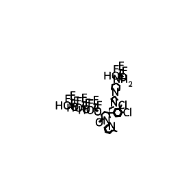 Cc1cccc(N2C[C@@](CCN3CC(N4CCC(N)CC4)C3)(c3ccc(Cl)c(Cl)c3)CCC2=O)n1.O=C(O)C(F)(F)F.O=C(O)C(F)(F)F.O=C(O)C(F)(F)F.O=C(O)C(F)(F)F